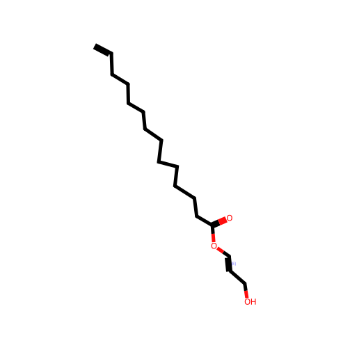 C=CCCCCCCCCCCCC(=O)O/C=C/CO